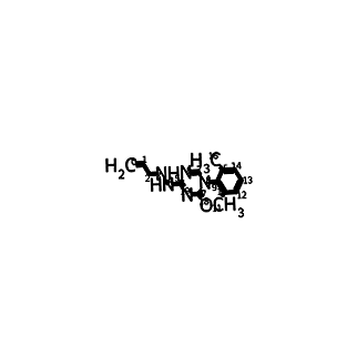 C=CCNNc1ncn(-c2c(C)cccc2C)c(=O)n1